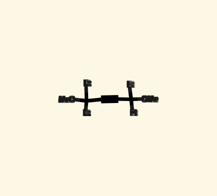 CCC(C#CC(CC)(CC)OC)(CC)OC